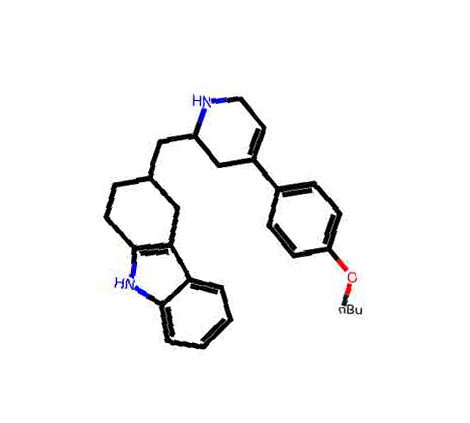 CCCCOc1ccc(C2=CCNC(CC3CCc4[nH]c5ccccc5c4C3)C2)cc1